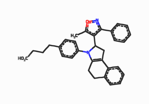 Cc1onc(-c2ccccc2)c1C1CC2=C(CCc3ccccc32)N1c1ccc(CCCC(=O)O)cc1